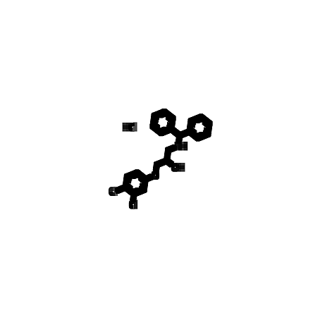 Cl.OC(CNC(c1ccccc1)c1ccccc1)COc1ccc(Cl)c(Cl)c1